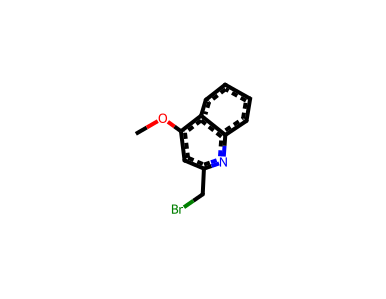 COc1cc(CBr)nc2ccccc12